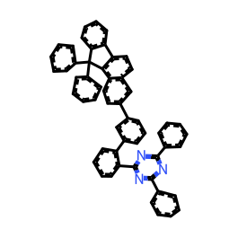 c1ccc(-c2nc(-c3ccccc3)nc(-c3ccccc3-c3cccc(-c4ccc5c6c(ccc5c4)-c4ccccc4C6(c4ccccc4)c4ccccc4)c3)n2)cc1